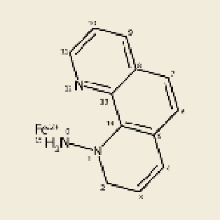 NN1CC=Cc2ccc3cccnc3c21.[Fe+2]